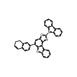 C1=Cc2ccc(-c3cc4oc(-n5c6ccccc6c6ccccc65)nc4c4c3oc3ccccc34)cc2CC1